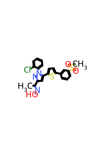 CC(=NO)c1cc(-c2ccc(-c3cccc(S(C)(=O)=O)c3)s2)n(-c2ccccc2Cl)n1